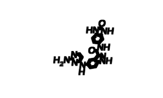 Nc1nccc(Nc2ccc3[nH]nc(C(=O)Nc4ccc5[nH]c(=O)[nH]c5c4)c3c2)n1